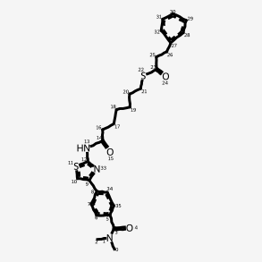 CN(C)C(=O)c1ccc(-c2csc(NC(=O)CCCCCCSC(=O)CCc3ccccc3)n2)cc1